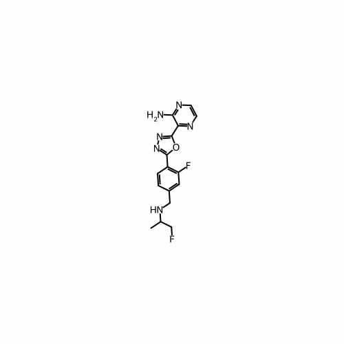 CC(CF)NCc1ccc(-c2nnc(-c3nccnc3N)o2)c(F)c1